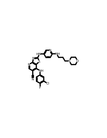 N#Cc1cnc2nc(Nc3ccc(NCCCN4CCOCC4)nc3)sc2c1Nc1ccc(F)c(Cl)c1